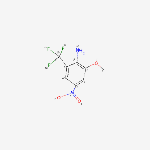 COc1cc([N+](=O)[O-])cc(C(F)(F)F)c1N